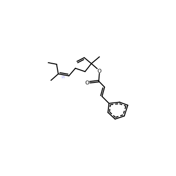 C=CC(C)(CC/C=C(/C)CC)OC(=O)C=Cc1ccccc1